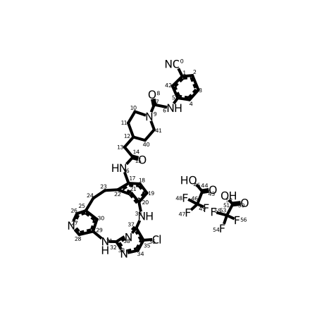 N#Cc1cccc(NC(=O)N2CCC(CC(=O)Nc3ccc4cc3CCc3cncc(c3)Nc3ncc(Cl)c(n3)N4)CC2)c1.O=C(O)C(F)(F)F.O=C(O)C(F)(F)F